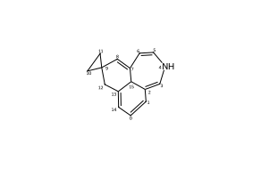 C1=CC2=CNC=CC3=CC4(CC4)CC(=C1)C23